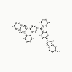 Cc1ccc2oc(-c3ccc(N(c4ccccc4)c4ccc(-c5nc6ccccc6nc5-c5ccccc5)cc4)cc3)nc2c1